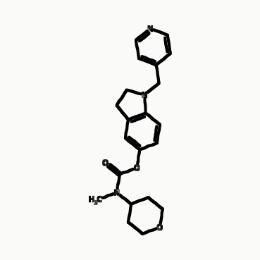 CN(C(=O)Oc1ccc2c(c1)CCN2Cc1ccncc1)C1CCOCC1